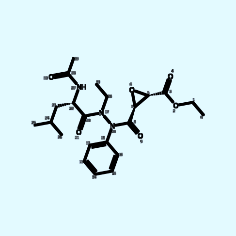 CCOC(=O)[C@H]1O[C@@H]1C(=O)N(c1ccccc1)N(CC)C(=O)[C@H](CC(C)C)NC(C)=O